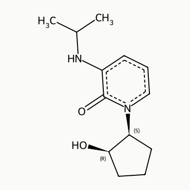 CC(C)Nc1cccn([C@H]2CCC[C@H]2O)c1=O